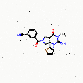 CN1C(=N)NC2(c3cccs3)CN(C(=O)c3cccc(C#N)c3)CC2C1=O